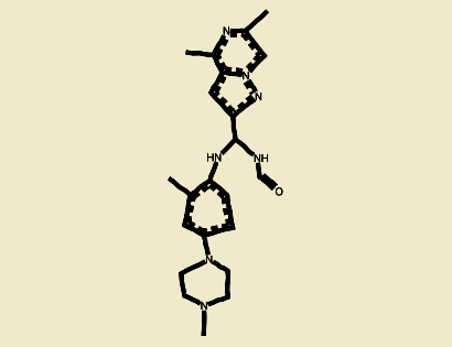 Cc1cn2nc(C(NC=O)Nc3ccc(N4CCN(C)CC4)cc3C)cc2c(C)n1